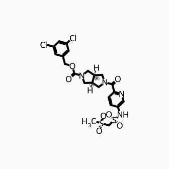 CS(=O)(=O)CS(=O)(=O)Nc1ccc(C(=O)N2C[C@H]3CN(C(=O)OCc4cc(Cl)cc(Cl)c4)C[C@H]3C2)nc1